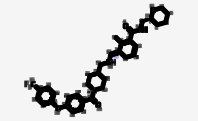 CC1=C(C(=O)NC[C@@H]2CCCCO2)C=CC/C1=C\NCC1CCN(C(=O)c2ccc(Oc3ccc(C(F)(F)F)cc3)cc2)CC1